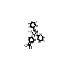 O=[N+]([O-])c1ccc(N2NC(c3ccccc3)=NN2c2ccccn2)cc1